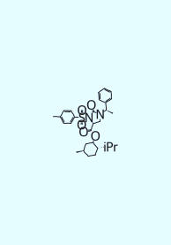 Cc1ccc(S(=O)(=O)N2C(=O)N([C@H](C)c3ccccc3)CC2C(=O)O[C@@H]2C[C@H](C)CC[C@H]2C(C)C)cc1